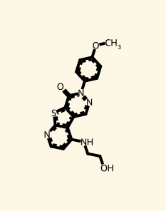 COc1ccc(-n2ncc3c(sc4nccc(NCCO)c43)c2=O)cc1